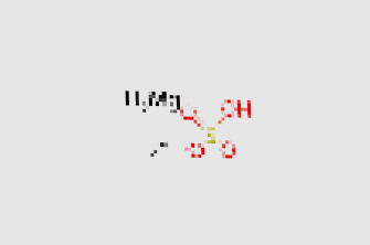 CCOS(=O)(=O)O.[MgH2]